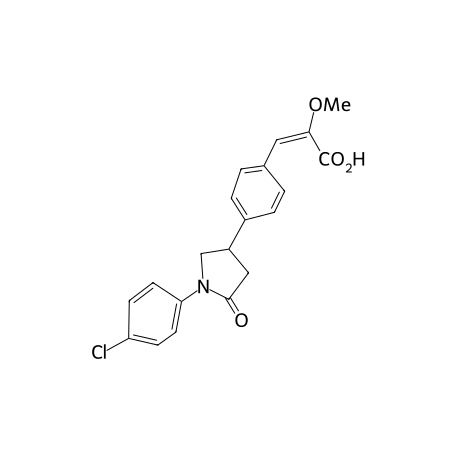 COC(=Cc1ccc(C2CC(=O)N(c3ccc(Cl)cc3)C2)cc1)C(=O)O